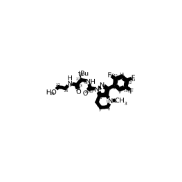 CN1CCCc2c1c(-c1cc(F)c(F)cc1F)nn2C(=O)N[C@H](C(=O)NCCO)C(C)(C)C